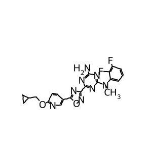 CN(c1nc(N)nc(-c2noc(-c3ccc(OCC4CC4)nc3)n2)n1)c1cccc(F)c1F